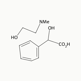 CNCCO.O=C(O)C(O)c1ccccc1